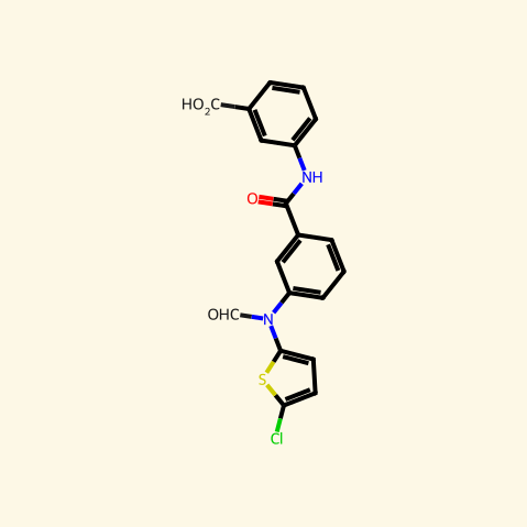 O=CN(c1cccc(C(=O)Nc2cccc(C(=O)O)c2)c1)c1ccc(Cl)s1